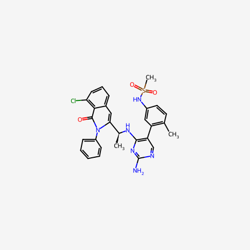 Cc1ccc(NS(C)(=O)=O)cc1-c1cnc(N)nc1N[C@@H](C)c1cc2cccc(Cl)c2c(=O)n1-c1ccccc1